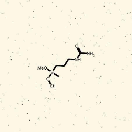 CCO[Si](C)(CCCNC(N)=O)OC